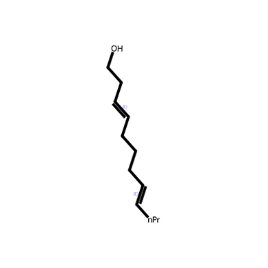 CCC/C=C/CCC/C=C/CCO